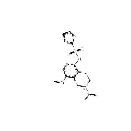 COc1ccc(NS(=O)(=O)c2cccs2)c2c1C[C@@H](N(C)C)CC2